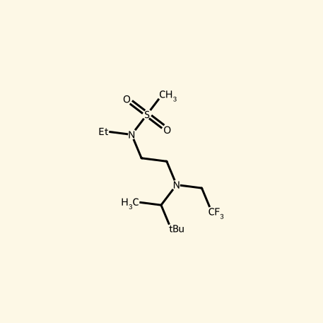 CCN(CCN(CC(F)(F)F)C(C)C(C)(C)C)S(C)(=O)=O